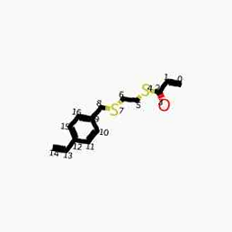 C=CC(=O)SCCSCc1ccc(C=C)cc1